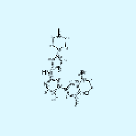 CC(C)N1CCOc2c(F)cc(-c3nc(Nc4cn(C5CCNCC5)cn4)ncc3F)cc21